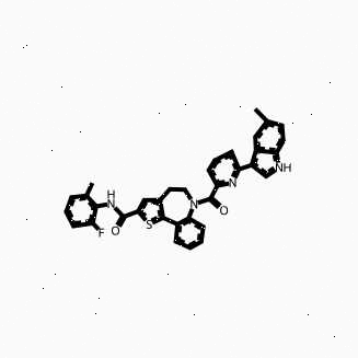 Cc1ccc2[nH]cc(-c3cccc(C(=O)N4CCc5cc(C(=O)Nc6c(C)cccc6F)sc5-c5ccccc54)n3)c2c1